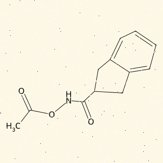 CC(=O)ONC(=O)C1Cc2ccccc2C1